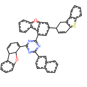 C1=CC2c3ccccc3OC2C(c2nc(-c3ccc4ccccc4c3)nc(-c3cc(C4C=Cc5sc6ccccc6c5C4)cc4oc5ccccc5c34)n2)=C1